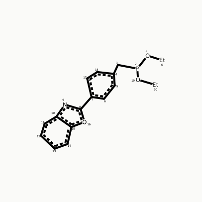 CCOP(Cc1ccc(-c2nc3ccccc3o2)cc1)OCC